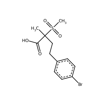 CC(CCc1ccc(Br)cc1)(C(=O)O)S(C)(=O)=O